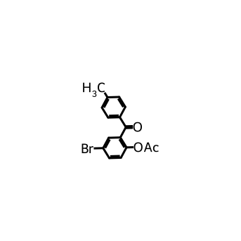 CC(=O)Oc1ccc(Br)cc1C(=O)c1ccc(C)cc1